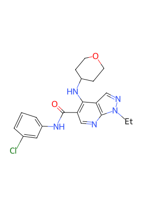 CCn1ncc2c(NC3CCOCC3)c(C(=O)Nc3cccc(Cl)c3)cnc21